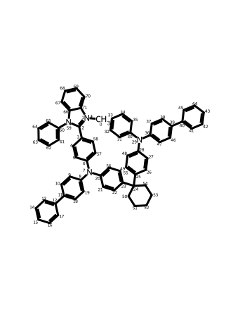 C[n+]1c(-c2ccc(N(c3ccc(-c4ccccc4)cc3)c3ccc(C4(c5ccc(N(c6ccccc6)c6ccc(-c7ccccc7)cc6)cc5)CCCCC4)cc3)cc2)n(-c2ccccc2)c2ccccc21